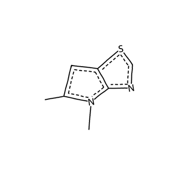 Cc1cc2scnc2n1C